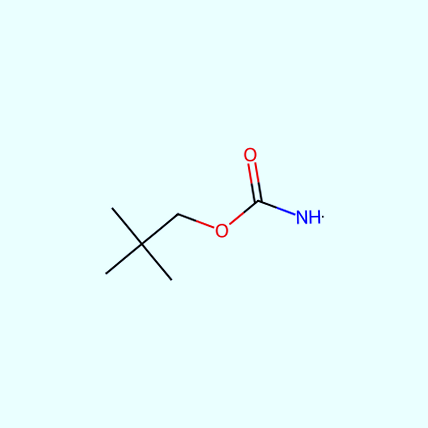 CC(C)(C)COC([NH])=O